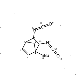 CCCCC12C=CC(C1)C(N=C=O)C2N=C=O